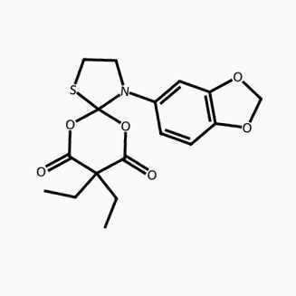 CCC1(CC)C(=O)OC2(OC1=O)SCCN2c1ccc2c(c1)OCO2